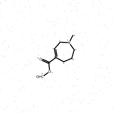 CN1CC=C(C(=O)OC=O)CCC1